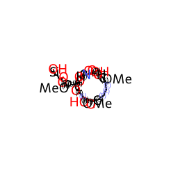 CO[C@H]1C[C@@H]2CC[C@@H](C)[C@@](O)(O2)C(=O)C(=O)N2CCCC[C@H]2C(=O)O[C@H]([C@@H](C)C[C@@H]2CC[C@@H](OC(=O)CCC[Si](C)(C)O)[C@H](OC)C2)CC(=O)[C@H](C)/C=C(\C)[C@@H](O)[C@@H](OC)C(=O)[C@H](C)C[C@H](C)/C=C/C=C/C=C/1C